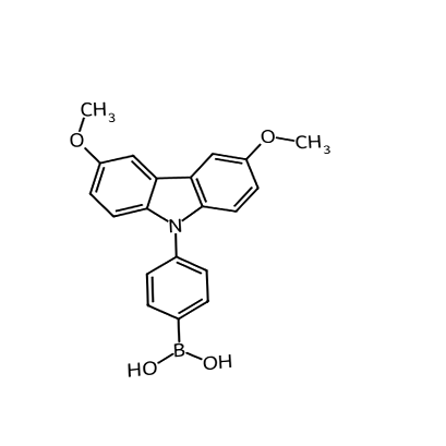 COc1ccc2c(c1)c1cc(OC)ccc1n2-c1ccc(B(O)O)cc1